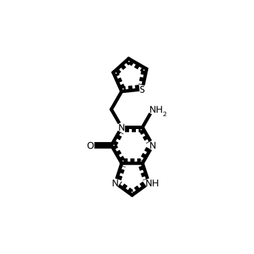 Nc1nc2[nH]cnc2c(=O)n1Cc1cccs1